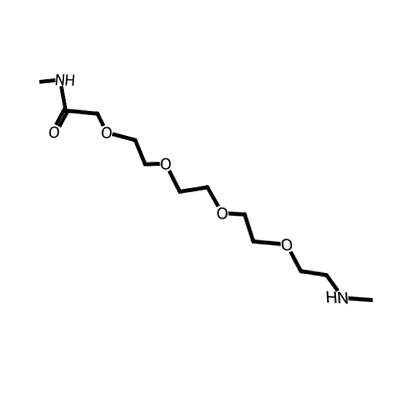 CNCCOCCOCCOCCOCC(=O)NC